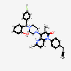 C#CCc1ccc(-n2c(=O)c([N+](=O)[O-])c(N3CCN(C(c4ccc(F)cc4)c4ccccc4O)CC3)c3nc(C#N)ccc32)cc1